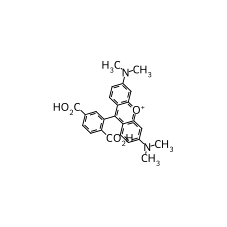 CN(C)c1ccc2c(-c3cc(C(=O)O)ccc3C(=O)O)c3ccc(N(C)C)cc3[o+]c2c1